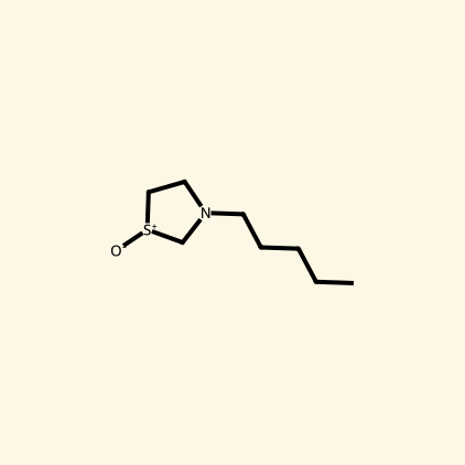 CCCCCN1CC[S+]([O-])C1